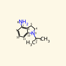 CC(C)N1CCc2c(N)cccc21